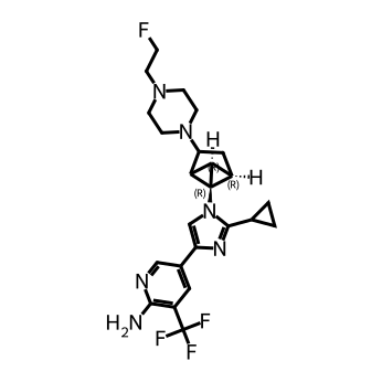 Nc1ncc(-c2cn([C@]34C5C(N6CCN(CCF)CC6)C[C@@H]3[C@H]54)c(C3CC3)n2)cc1C(F)(F)F